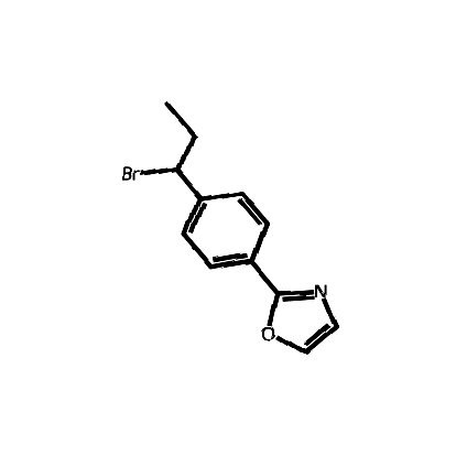 CCC(Br)c1ccc(-c2ncco2)cc1